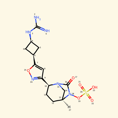 N=C(N)N[C@H]1C[C@@H](c2cc([C@@H]3CC[C@H]4CN3C(=O)N4OS(=O)(=O)O)no2)C1